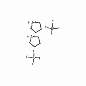 C1CC[NH2+]C1.C1CC[NH2+]C1.F[B-](F)(F)F.F[B-](F)(F)F